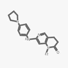 CCN1C(=O)CCc2cnc(Nc3ccc(N4CCCC4)cc3)cc21